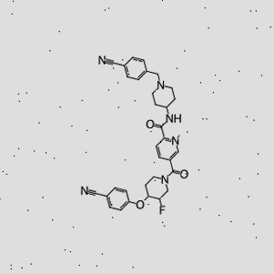 N#Cc1ccc(CN2CCC(NC(=O)c3ccc(C(=O)N4CCC(Oc5ccc(C#N)cc5)C(F)C4)cn3)CC2)cc1